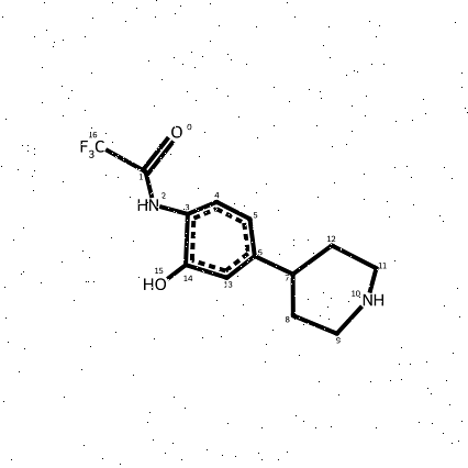 O=C(Nc1ccc(C2CCNCC2)cc1O)C(F)(F)F